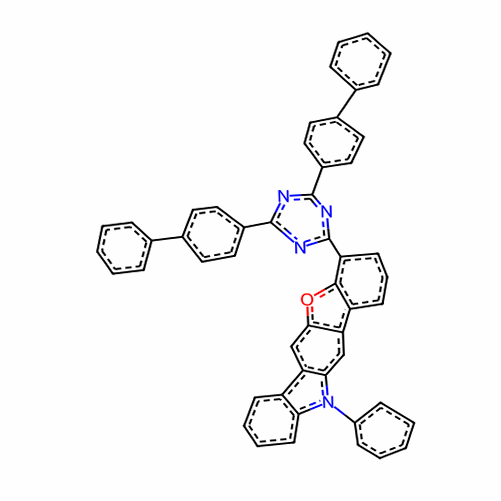 c1ccc(-c2ccc(-c3nc(-c4ccc(-c5ccccc5)cc4)nc(-c4cccc5c4oc4cc6c7ccccc7n(-c7ccccc7)c6cc45)n3)cc2)cc1